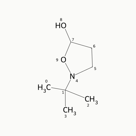 CC(C)(C)N1CCC(O)O1